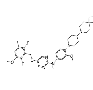 COc1cc(Nc2ncc(OCc3c(F)c(C)cc(OC)c3F)cn2)ccc1N1CCC(N2CCC3(CC2)COC3)CC1